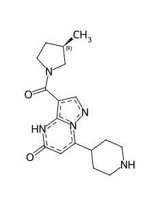 C[C@@H]1CCN(C(=O)c2cnn3c(C4CCNCC4)cc(=O)[nH]c23)C1